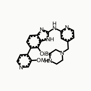 COc1cnccc1-c1ccc2nc(Nc3cc(CN4CCNCC4)ccn3)[nH]c2c1OCC(C)C